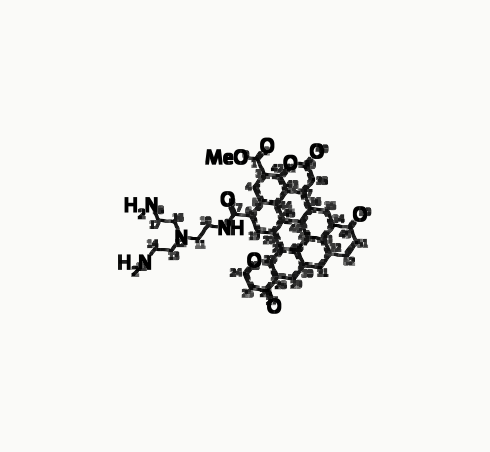 COC(=O)c1cc2c(C(=O)NCCN(CCN)CCN)cc3c4c5occc(=O)c5cc5cc6c7c(cc8c9cc(=O)oc1c9c2c3c8c7c54)C(=O)C=C6